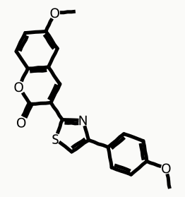 COc1ccc(-c2csc(-c3cc4cc(OC)ccc4oc3=O)n2)cc1